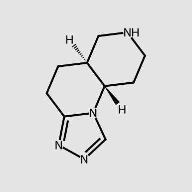 c1nnc2n1[C@H]1CCNC[C@@H]1CC2